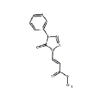 COC(=O)/C=C/n1nnn(-c2ccccc2)c1=O